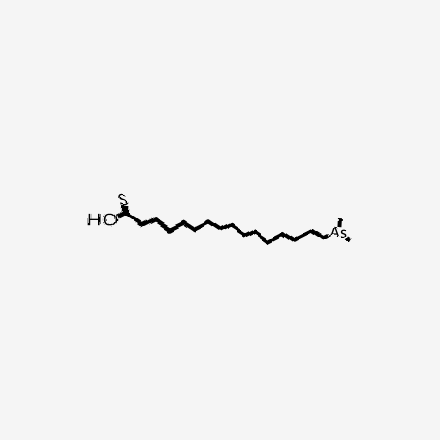 C[As](C)CCCCCCCCCCCCCCCC(O)=S